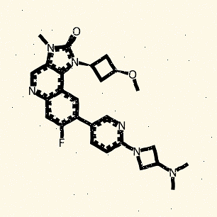 CO[C@H]1C[C@@H](n2c(=O)n(C)c3cnc4cc(F)c(-c5ccc(N6CC(N(C)C)C6)nc5)cc4c32)C1